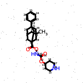 CC12CC3CC(C(=O)ONC(=O)OC4CCNCC4)(C1)CC(c1ccccc1)(C3)C2